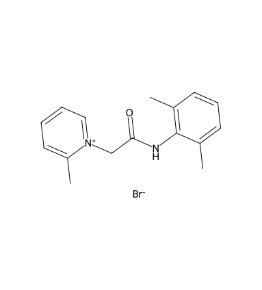 Cc1cccc(C)c1NC(=O)C[n+]1ccccc1C.[Br-]